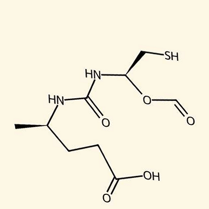 C[C@H](CCC(=O)O)NC(=O)N[C@@H](CS)OC=O